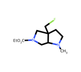 CCOC(=O)N1CC2N(C)CCC2(CF)C1